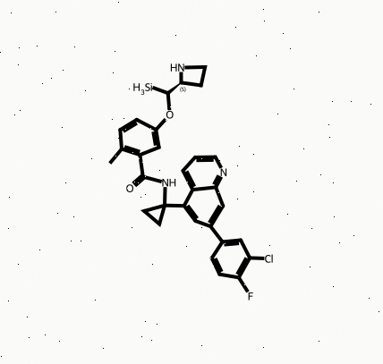 Cc1ccc(OC([SiH3])[C@@H]2CCN2)cc1C(=O)NC1(c2cc(-c3ccc(F)c(Cl)c3)cc3ncccc23)CC1